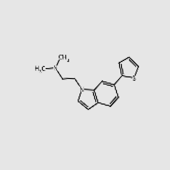 CN(C)CCn1ccc2ccc(-c3cccs3)cc21